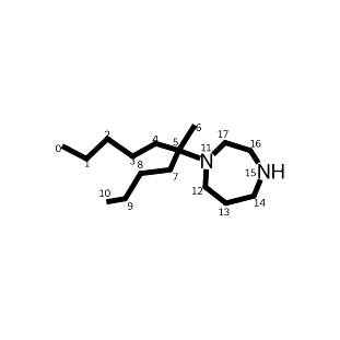 CCCCCC(C)(CCCC)N1CCCNCC1